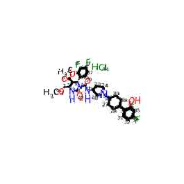 COCC1=C(C(=O)OC)[C@H](c2ccc(F)c(F)c2)N(C(=O)N[C@@H]2CCN(C3CCC(c4ccc(F)cc4O)CC3)C2)C(=O)N1.Cl